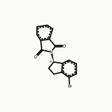 O=C1c2ccccc2C(=O)N1[C@@H]1CCc2c(Br)cccc21